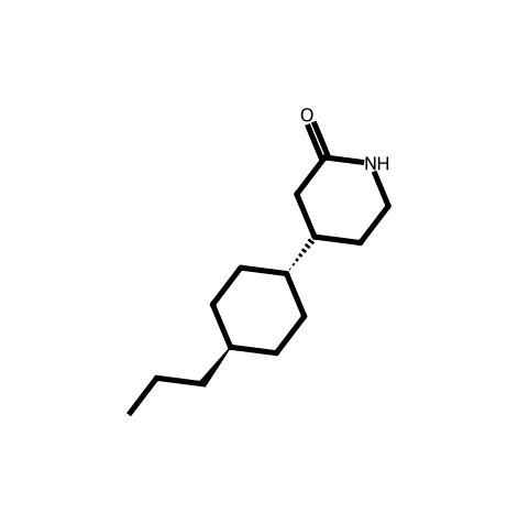 CCC[C@H]1CC[C@H](C2CCNC(=O)C2)CC1